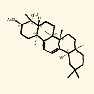 CC(=O)O[C@@H]1CC[C@]2(C)C3=CC=C4[C@@H]5CC(C)(C)CC[C@]5(C)CC[C@@]4(C)[C@]3(C)CC[C@H]2[C@@]1(C)C(=O)O